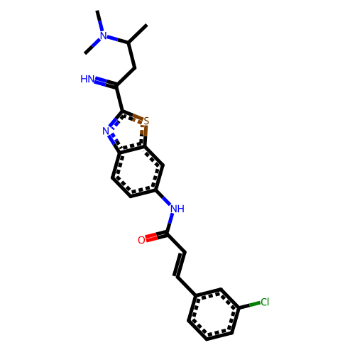 CC(CC(=N)c1nc2ccc(NC(=O)C=Cc3cccc(Cl)c3)cc2s1)N(C)C